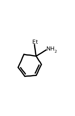 CCC1(N)C=CC=CC1